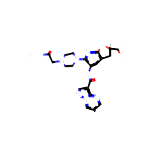 Cc1cnc2c(C(=O)Nc3cc4c(nc3N3CCN(CC(N)=O)CC3)O[C@](C)(CO)C4)cnn2c1